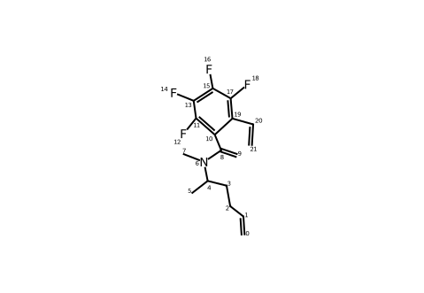 C=CCCC(C)N(C)C(=C)c1c(F)c(F)c(F)c(F)c1C=C